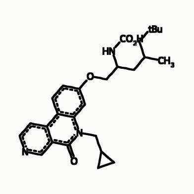 CC(CC(COc1ccc2c3ccncc3c(=O)n(CC3CC3)c2c1)NC(=O)O)CC(C)(C)C